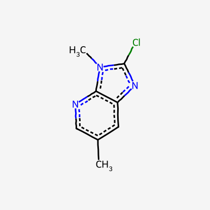 Cc1cnc2c(c1)nc(Cl)n2C